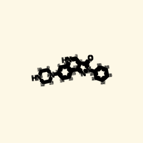 O=c1c2c[nH]c3cc(N4CCNCC4)ccc3c-2nn1-c1ccccc1